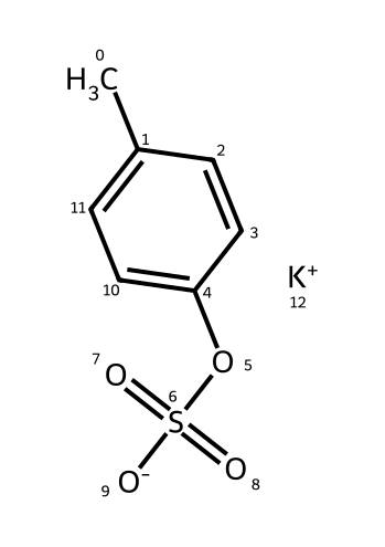 Cc1ccc(OS(=O)(=O)[O-])cc1.[K+]